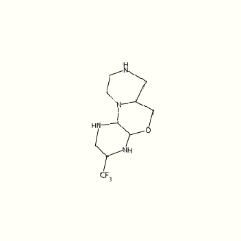 FC(F)(F)C1CNC2C(N1)OCC1CNCCN12